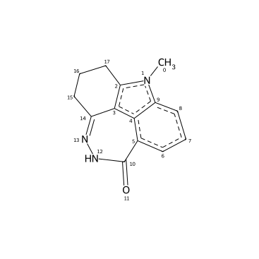 Cn1c2c3c4c(cccc41)C(=O)NN=C3CCC2